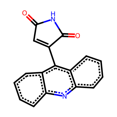 O=C1C=C(c2c3ccccc3nc3ccccc23)C(=O)N1